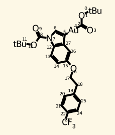 CC(C)(C)O[C](=O)[Au][c]1cn(C(=O)OC(C)(C)C)c2ccc(OCCc3ccc(C(F)(F)F)cc3)cc12